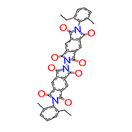 CCc1cccc(C)c1-n1c(=O)c2cc3c(=O)n(-n4c(=O)c5cc6c(=O)n(-c7c(C)cccc7CC)c(=O)c6cc5c4=O)c(=O)c3cc2c1=O